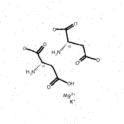 N[C@@H](CC(=O)O)C(=O)[O-].N[C@@H](CC(=O)[O-])C(=O)[O-].[K+].[Mg+2]